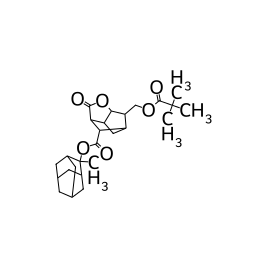 CC(C)(C)C(=O)OCC1C2CC3C1OC(=O)C3C2C(=O)OC1(C)C2CC3CC(C2)CC1C3